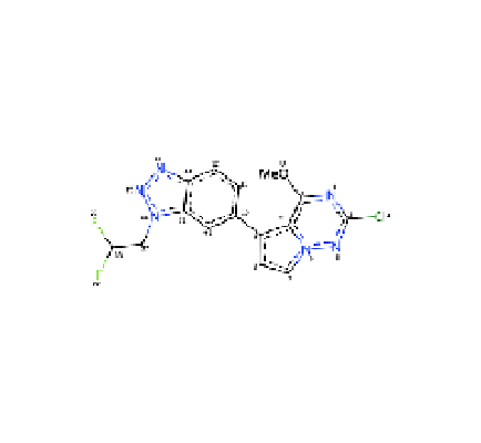 COc1nc(Cl)nn2ccc(-c3ccc4nnn(CC(F)F)c4c3)c12